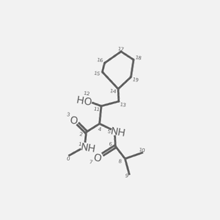 CNC(=O)C(NC(=O)C(C)C)C(O)CC1CCCCC1